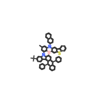 Cc1cc2c3c(c1)-n1c4cc(C(C)(C)C)ccc4c4c5c(-c6ccccc6)c6ccccc6c(-c6ccccc6)c5cc(c41)B3c1cc3sc4ccccc4c3cc1N2c1ccc2ccccc2c1